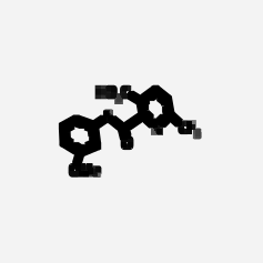 COc1cccc(SC(=O)c2nc(C(F)(F)F)ccc2C(=O)O)c1